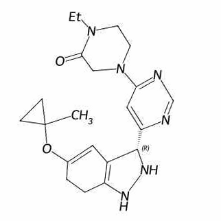 CCN1CCN(c2cc([C@@H]3NNC4=C3C=C(OC3(C)CC3)CC4)ncn2)CC1=O